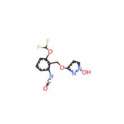 O=C=Nc1cccc(OC(F)F)c1COc1ccn(O)n1